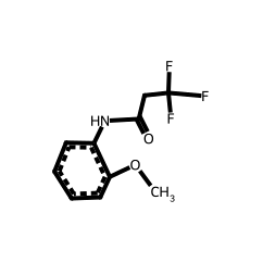 COc1ccccc1NC(=O)CC(F)(F)F